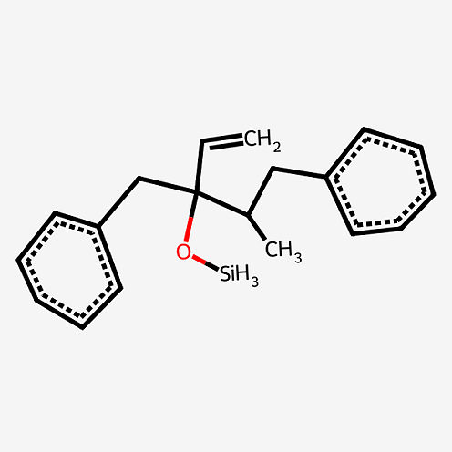 C=CC(Cc1ccccc1)(O[SiH3])C(C)Cc1ccccc1